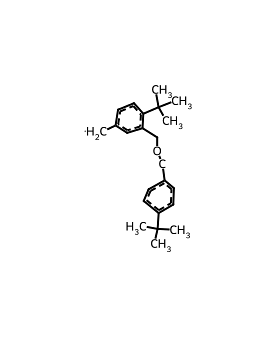 [CH2]c1ccc(C(C)(C)C)c(COCc2ccc(C(C)(C)C)cc2)c1